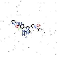 C=CC(=O)N1CCC(c2cc(-c3ccc(C(=O)Nc4ccccn4)c(F)c3)n3c(N)nccc23)C1